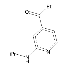 CCC(=O)c1ccnc(NC(C)C)c1